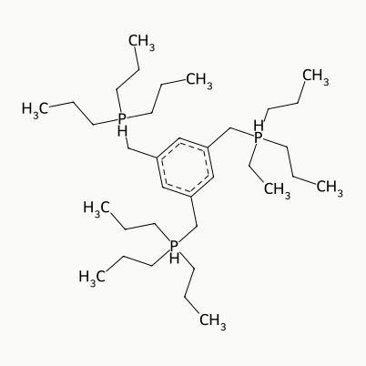 CCC[PH](CC)(CCC)Cc1cc(C[PH](CCC)(CCC)CCC)cc(C[PH](CCC)(CCC)CCC)c1